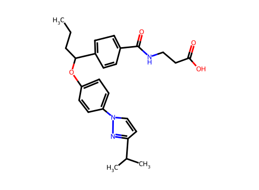 CCCC(Oc1ccc(-n2ccc(C(C)C)n2)cc1)c1ccc(C(=O)NCCC(=O)O)cc1